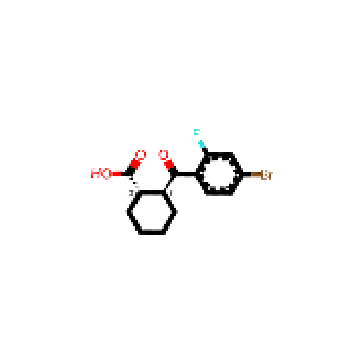 O=C(O)[C@H]1CCCC[C@@H]1C(=O)c1ccc(Br)cc1F